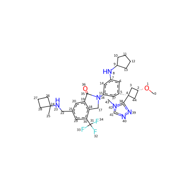 CO[C@H]1C[C@](c2cc(NC3CCCC3)cc(N3Cc4c(cc(CNC5(C)CCC5)cc4C(F)(F)F)C3=O)c2)(c2nncn2C)C1